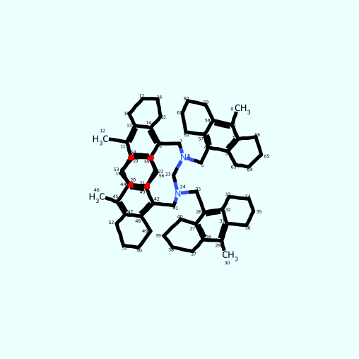 Cc1c2c(c(CN(Cc3c4c(c(C)c5c3CCCC5)CCCC4)CN(Cc3c4c(c(C)c5c3CCCC5)CCCC4)Cc3c4c(c(C)c5c3CCCC5)CCCC4)c3c1CCCC3)CCCC2